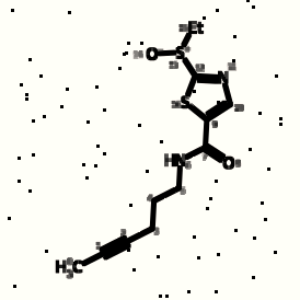 CC#CCCCNC(=O)c1cnc([S+]([O-])CC)s1